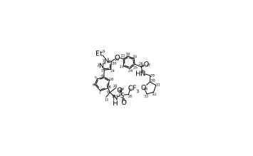 CCn1nc(-c2cccc(C(C)(C)NS(=O)(=O)CC(F)(F)F)c2)cc1Oc1ccc(C(=O)NCC2CCCO2)cc1